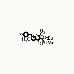 COC(=O)[C@@H](OC(C)(C)C)c1c(C)nc2c(ccn2Cc2ccc(F)cc2C)c1I